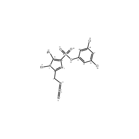 CCn1c(CN=[N+]=[N-])nc(S(=O)(=O)Oc2cc(Cl)cc(Cl)c2)c1C(C)C